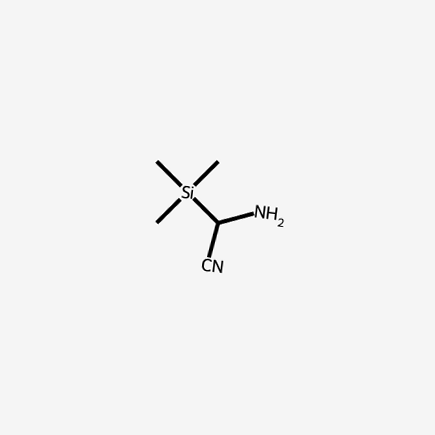 C[Si](C)(C)C(N)C#N